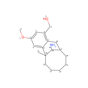 COc1cc(CO)c2c(c1)C1(C)CCCCCC(C2)C1N